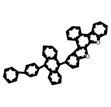 c1ccc(-c2ccc(-c3c4ccccc4c(-c4ccc5oc6c7oc8ccccc8c7c7ccccc7c6c5c4)c4ccccc34)cc2)cc1